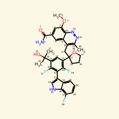 COc1cc(C(N)=O)cc2c(CC3(c4cc(C(C)(C)O)c(F)c(-c5c[nH]c6c(F)cccc56)c4F)CCCO3)c(C)nnc12